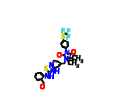 CC1(C)C(=O)N(c2ccc(SC(F)(F)F)cc2)C(=O)N1Cc1ccnc(NC(=S)Nc2ccccc2C=O)c1